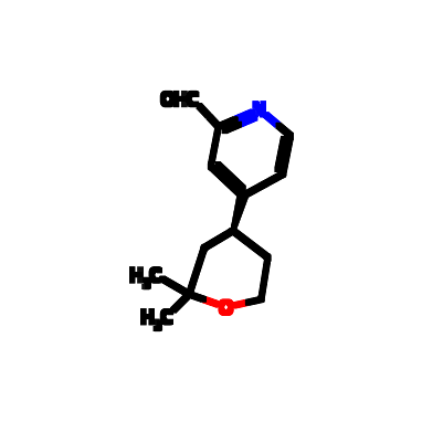 CC1(C)C[C@@H](c2ccnc(C=O)c2)CCO1